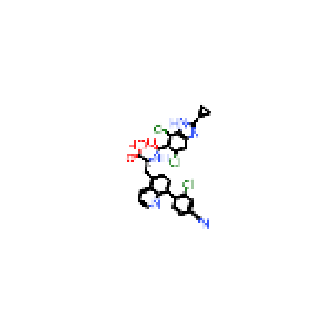 N#Cc1ccc(-c2ccc(C[C@H](NC(=O)c3c(Cl)cc4nc(C5CC5)[nH]c4c3Cl)C(=O)O)c3cccnc23)c(Cl)c1